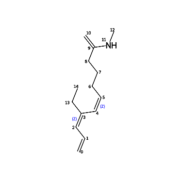 C=C/C=C(\C=C/CCCC(=C)NC)CC